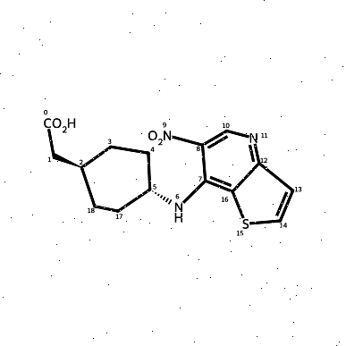 O=C(O)C[C@H]1CC[C@H](Nc2c([N+](=O)[O-])cnc3ccsc23)CC1